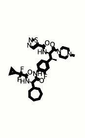 C[C@@H](c1ccc(NC(=O)[C@@H](NC(=O)C(F)(F)C2CC2)C2CCCCCC2)c(F)c1)[C@@H](NC(=O)c1cnns1)C(=O)N1CCN(C)CC1